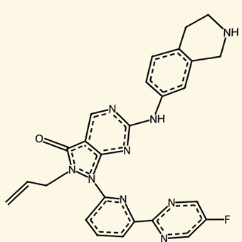 C=CCn1c(=O)c2cnc(Nc3ccc4c(c3)CNCC4)nc2n1-c1cccc(-c2ncc(F)cn2)n1